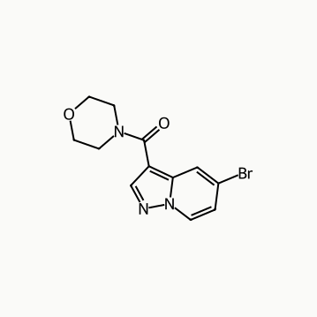 O=C(c1cnn2ccc(Br)cc12)N1CCOCC1